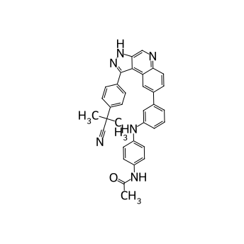 CC(=O)Nc1ccc(Nc2cccc(-c3ccc4ncc5[nH]nc(-c6ccc(C(C)(C)C#N)cc6)c5c4c3)c2)cc1